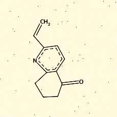 C=Cc1ccc2c(n1)CCCC2=O